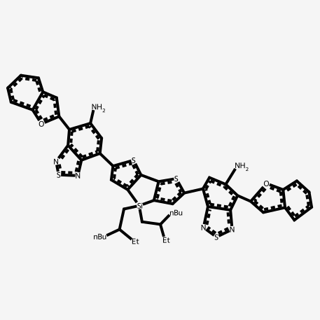 CCCCC(CC)C[Si]1(CC(CC)CCCC)c2cc(-c3cc(N)c(-c4cc5ccccc5o4)c4nsnc34)sc2-c2sc(-c3cc(N)c(-c4cc5ccccc5o4)c4nsnc34)cc21